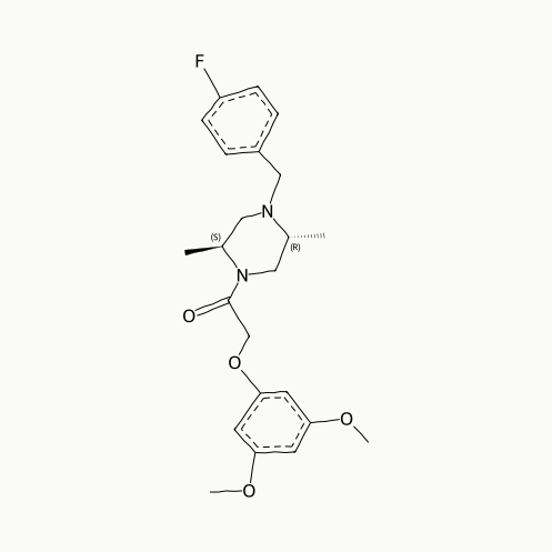 COc1cc(OC)cc(OCC(=O)N2C[C@@H](C)N(Cc3ccc(F)cc3)C[C@@H]2C)c1